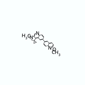 COc1ccc2cc(-c3ccc4ncc5c(c4c3)C3(CC3)CN5C)ccc2n1